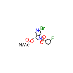 CNC(=O)OCc1cn(S(=O)(=O)c2cccc(F)c2)c2cc(Br)ncc12